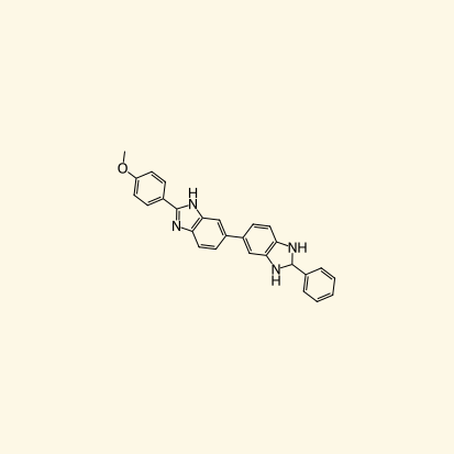 COc1ccc(-c2nc3ccc(-c4ccc5c(c4)NC(c4ccccc4)N5)cc3[nH]2)cc1